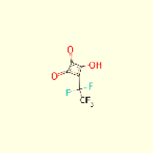 O=c1c(O)c(C(F)(F)C(F)(F)F)c1=O